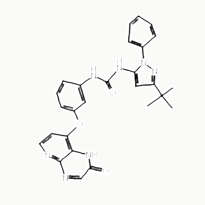 CC(C)(C)c1cc(NC(=O)Nc2cccc(Oc3ccnc4ncc(=O)[nH]c34)c2)n(-c2ccccc2)n1